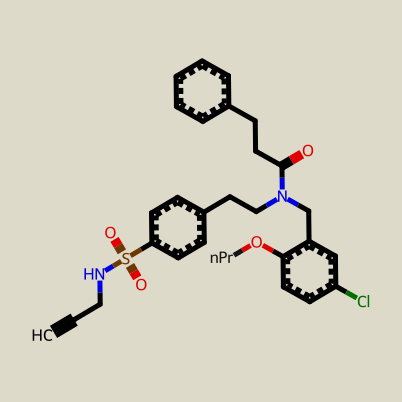 C#CCNS(=O)(=O)c1ccc(CCN(Cc2cc(Cl)ccc2OCCC)C(=O)CCc2ccccc2)cc1